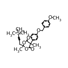 COc1ccc(COc2ccc(C3(C)C(=O)OC(C)(CC#C[Si](C)(C)C)OC3=O)cc2)cc1